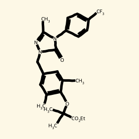 CCOC(=O)C(C)(C)Oc1c(C)cc(Cn2nc(C)n(-c3ccc(C(F)(F)F)cc3)c2=O)cc1C